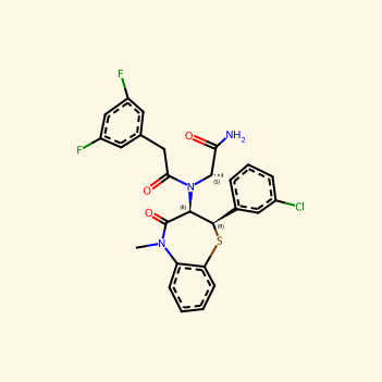 C[C@@H](C(N)=O)N(C(=O)Cc1cc(F)cc(F)c1)[C@@H]1C(=O)N(C)c2ccccc2S[C@@H]1c1cccc(Cl)c1